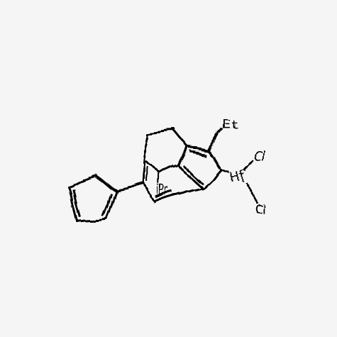 CCC1=C2CCC3=C(C4=CC=CC4)C=CC(=C2C3C(C)C)[CH]1[Hf]([Cl])[Cl]